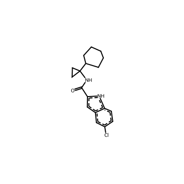 O=C(NC1(C2CCCCC2)CC1)c1cc2cc(Cl)ccc2[nH]1